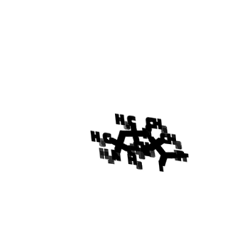 CC(C)C(I)C(C)(C)N(C)C(C)(C)CC(C)(C)N